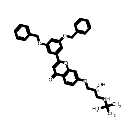 CC(C)(C)NC[C@@H](O)COc1ccc2c(=O)cc(-c3cc(OCc4ccccc4)cc(OCc4ccccc4)c3)oc2c1